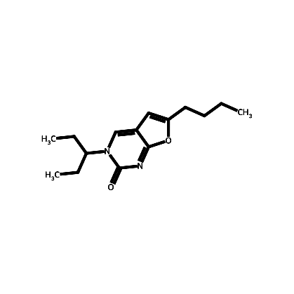 CCCCc1cc2cn(C(CC)CC)c(=O)nc2o1